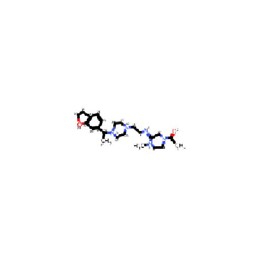 CC(=O)N1CCN(C)/C(=N\CCN2CCN(C(C)c3ccc4c(c3)OCC4)CC2)C1